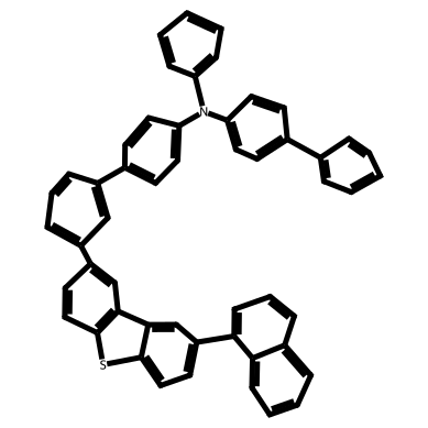 c1ccc(-c2ccc(N(c3ccccc3)c3ccc(-c4cccc(-c5ccc6sc7ccc(-c8cccc9ccccc89)cc7c6c5)c4)cc3)cc2)cc1